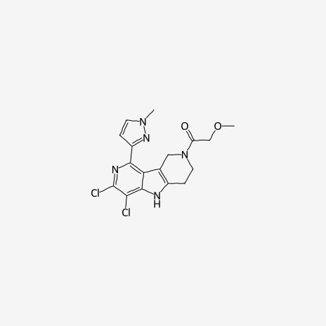 COCC(=O)N1CCc2[nH]c3c(Cl)c(Cl)nc(-c4ccn(C)n4)c3c2C1